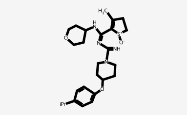 CC1=C(/C(=N\C(=N)N2CCC(Oc3ccc(C(C)C)cc3)CC2)NC2CCOCC2)[S+]([O-])CC1